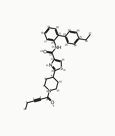 CCC#CC(=O)N1CCC(c2nc(C(=O)Nc3ccccc3-c3ccc(CC)cc3)cs2)CC1